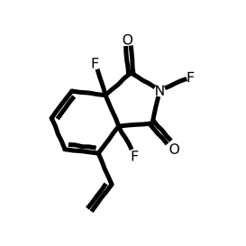 C=CC1=CC=CC2(F)C(=O)N(F)C(=O)C12F